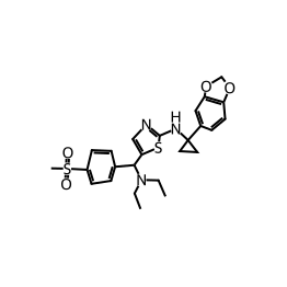 CCN(CC)C(c1ccc(S(C)(=O)=O)cc1)c1cnc(NC2(c3ccc4c(c3)OCO4)CC2)s1